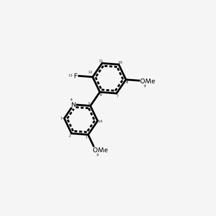 COc1ccnc(-c2cc(OC)ccc2F)c1